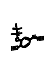 CC(C)(C)[Si](C)(C)Oc1cc(N=N)ccc1O